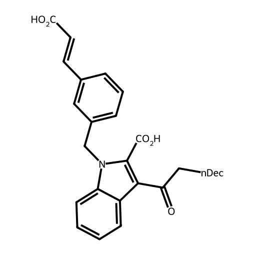 CCCCCCCCCCCC(=O)c1c(C(=O)O)n(Cc2cccc(C=CC(=O)O)c2)c2ccccc12